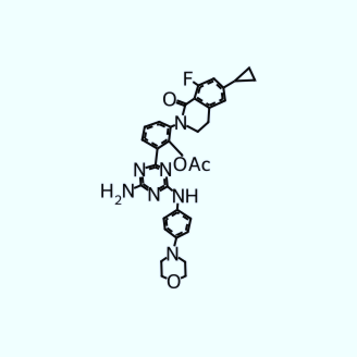 CC(=O)OCc1c(-c2nc(N)nc(Nc3ccc(N4CCOCC4)cc3)n2)cccc1N1CCc2cc(C3CC3)cc(F)c2C1=O